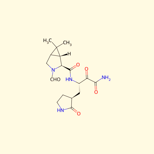 CC1(C)C2CN(C=O)[C@H](C(=O)N[C@@H](C[C@@H]3CCNC3=O)C(=O)C(N)=O)[C@H]21